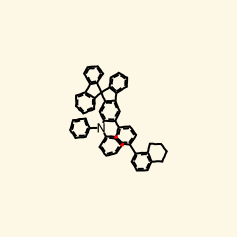 c1ccc(N(c2ccccc2)c2cc3c(cc2-c2ccc(-c4cccc5c4CCCC5)cc2)-c2ccccc2C32c3ccccc3-c3ccccc32)cc1